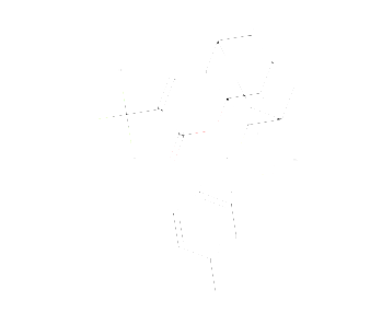 C=C(C(=O)OC12CC3CC(CC(C3)C1SS(=O)(=O)c1cccc(C)c1)C2)C(F)(F)F